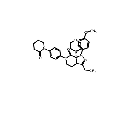 CCC1=NN(c2ccc(OC)cc2)C2(N3CCOCC3)C(=O)N(c3ccc(N4CCCCC4=O)cc3)CCC12